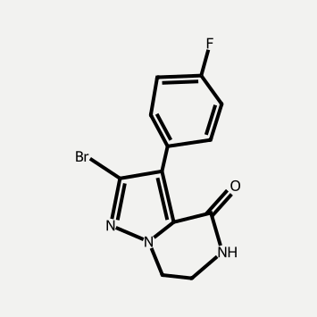 O=C1NCCn2nc(Br)c(-c3ccc(F)cc3)c21